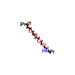 CC(C)NCCOCCOCCOCCOCCC(=O)C(C)C